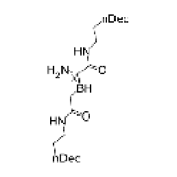 CCCCCCCCCCCCNC(=O)CB[C@H](N)C(=O)NCCCCCCCCCCCC